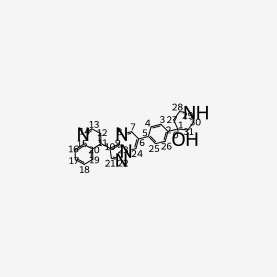 OC1(c2ccc(-c3cnc4c(-c5ccnc6ccccc56)cnn4c3)cc2)CCNCC1